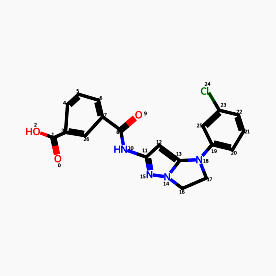 O=C(O)c1cccc(C(=O)Nc2cc3n(n2)CCN3c2cccc(Cl)c2)c1